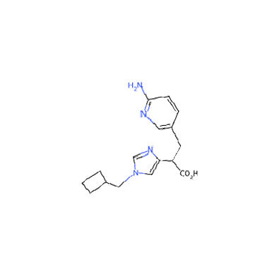 Nc1ccc(CC(C(=O)O)c2cn(CC3CCC3)cn2)cn1